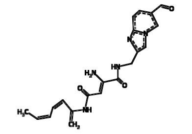 C=C(/C=C\C=C/C)NC(=O)/C=C(\N)C(=O)NCc1cn2cc(C=O)ccc2n1